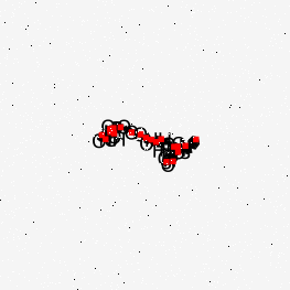 CS(=O)(=O)n1ccc(C(=O)N[C@@H](COCc2ccc(CNC(=O)CCOCCOCCOc3ccc4c(c3)C(=O)N(C3CCC(=O)NC3=O)C4=O)cc2)C(=O)Nc2nc(-c3ccccc3)cs2)c1